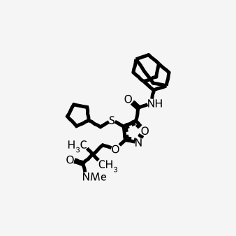 CNC(=O)C(C)(C)COc1noc(C(=O)NC2C3CC4CC(C3)CC2C4)c1SCC1CCCC1